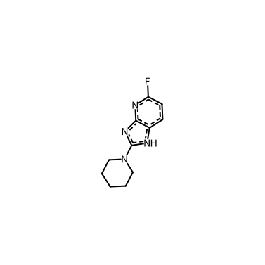 Fc1ccc2[nH]c(N3CCCCC3)nc2n1